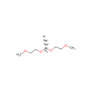 COCC[O][AlH2-][O]CCOC.[H-].[Na+].[Na+]